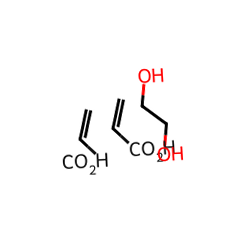 C=CC(=O)O.C=CC(=O)O.OCCO